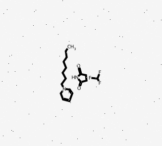 CCCCCCCCN1C=CC=CC1.FC(F)F.O=C1CCC(=O)N1